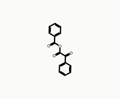 O=C(OC(=O)c1ccccc1)C(=O)c1ccccc1